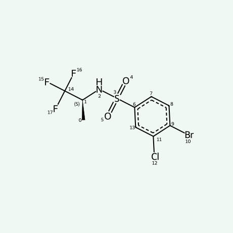 C[C@H](NS(=O)(=O)c1ccc(Br)c(Cl)c1)C(F)(F)F